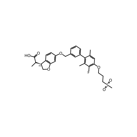 Cc1cc(OCCCS(C)(=O)=O)c(F)c(C)c1-c1cccc(COc2ccc3c(c2)OC[C@H]3C(C)C(=O)O)c1